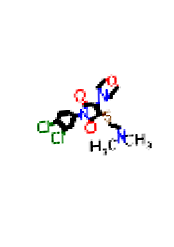 CN(C)CCSC1=C(N2CCOCC2)C(=O)N(c2ccc(Cl)c(Cl)c2)C1=O